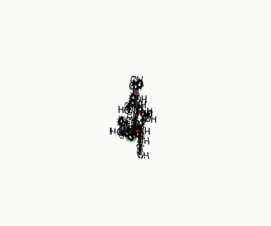 O=C(O)c1ccccc1/N=N/c1ccc2cc(S(=O)(=O)O)cc(Nc3nc(NCCOCCO)nc(NC(CSSCC(Nc4nc(NCCOCCO)nc(Nc5cccc6cc(S(=O)(=O)O)c(/N=N/c7ccccc7C(=O)O)c(O)c56)n4)C(=O)O)C(=O)O)n3)c2c1O